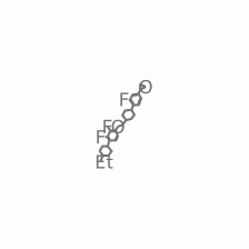 CCC1CCC(c2ccc(OCC3CCC(c4ccc(C5CO5)cc4F)CC3)c(F)c2F)CC1